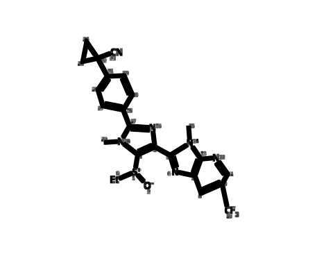 CC[S+]([O-])c1c(-c2nc3cc(C(F)(F)F)cnc3n2C)nc(-c2ccc(C3(C#N)CC3)cc2)n1C